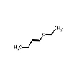 [CH2]COC=CCC